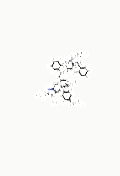 COC(=O)N[C@@H](Cc1ccccc1Cl)C(=O)Nc1ccccc1CC[C@@H](CO)N(C/C(C=N)=C/N)S(=O)(=O)c1ccc(N)cc1